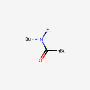 CCCCC(=O)N(CC)[C@@H](C)CC